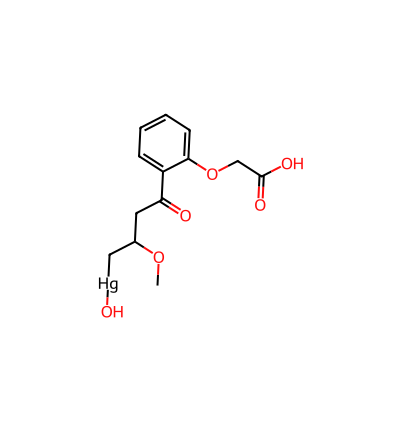 COC([CH2][Hg][OH])CC(=O)c1ccccc1OCC(=O)O